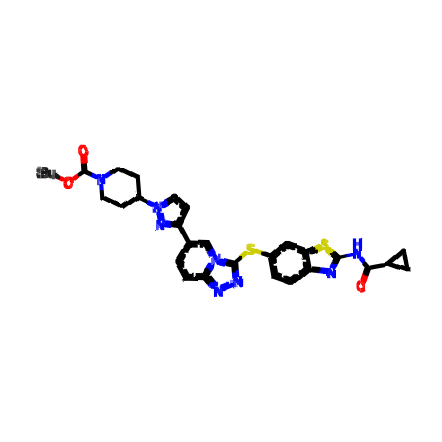 CC(C)(C)OC(=O)N1CCC(n2ccc(-c3ccc4nnc(Sc5ccc6nc(NC(=O)C7CC7)sc6c5)n4c3)n2)CC1